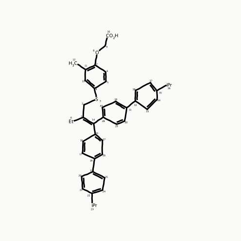 CCC(CSc1ccc(OCC(=O)O)c(C)c1)=C(c1ccc(-c2ccc(C(C)C)cc2)cc1)c1ccc(-c2ccc(C(C)C)cc2)cc1